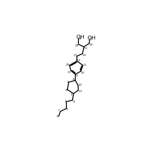 CCCCCC1CCC(c2ccc(CCC(CO)CO)cc2)CC1